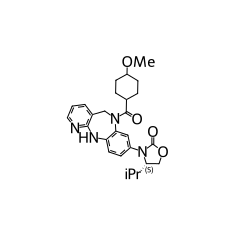 COC1CCC(C(=O)N2Cc3cccnc3Nc3ccc(N4C(=O)OC[C@@H]4C(C)C)cc32)CC1